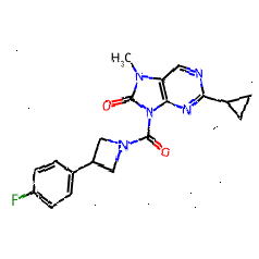 Cn1c(=O)n(C(=O)N2CC(c3ccc(F)cc3)C2)c2nc(C3CC3)ncc21